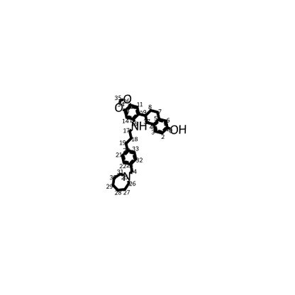 Oc1ccc2c(c1)CCC(c1cc3c(cc1NCCCc1ccc(CN4CCCCCC4)cc1)OCO3)C2